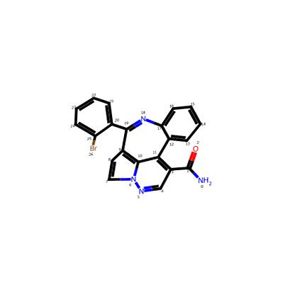 NC(=O)c1cnn2ccc3c2c1-c1ccccc1N=C3c1ccccc1Br